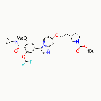 COc1cc(-c2cnc3cc(OCCC4CCN(C(=O)OC(C)(C)C)C4)ccn23)cc(OC(F)F)c1C(=O)NC1CC1